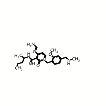 CCCC(C)NC(=N)c1c(/N=C/N)ccn(Cc2ccc(CNC)cc2OC)c1=O